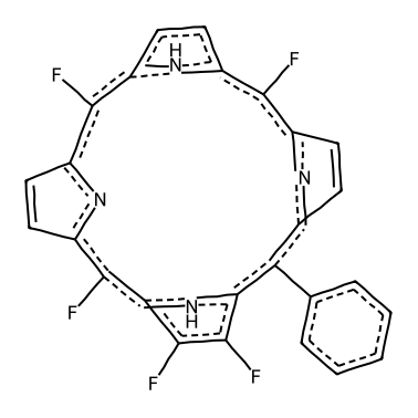 Fc1c2nc(c(F)c3[nH]c(c(F)c3F)c(-c3ccccc3)c3nc(c(F)c4ccc1[nH]4)C=C3)C=C2